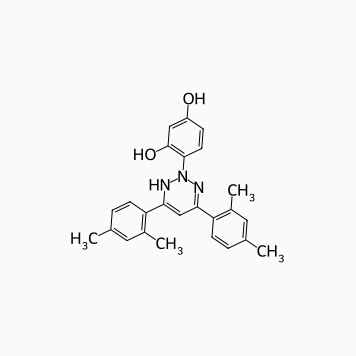 Cc1ccc(C2=CC(c3ccc(C)cc3C)=NN(c3ccc(O)cc3O)N2)c(C)c1